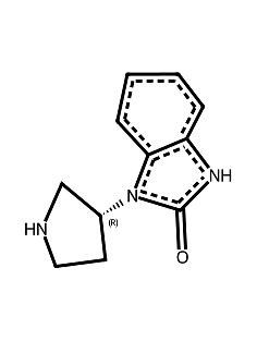 O=c1[nH]c2ccccc2n1[C@@H]1CCNC1